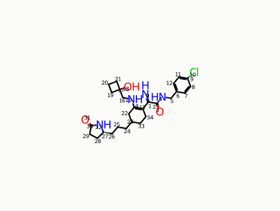 N=C(C(=O)NCc1ccc(Cl)cc1)C1=C(NCC2(O)CCC2)CC(CCC[C@H]2CCC(=O)N2)CC1